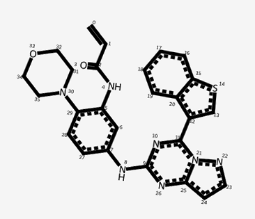 C=CC(=O)Nc1cc(Nc2nc(-c3csc4ccccc34)n3nccc3n2)ccc1N1CCOCC1